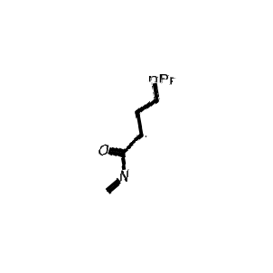 [CH2]CCCC[CH]C(=O)N=C